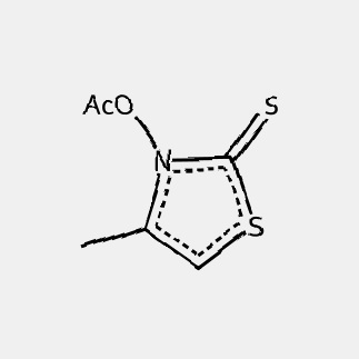 CC(=O)On1c(C)csc1=S